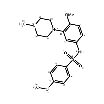 COc1ccc(NS(=O)(=O)c2ccc(OC(F)(F)F)cc2)cc1N1CCN(C)CC1